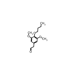 CCCCOc1c(OC)cc(CC=O)cc1OC